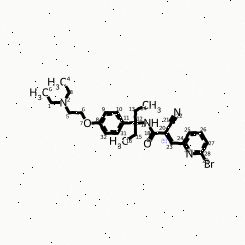 CCN(CC)CCOc1ccc(C(CC)(CC)NC(=O)/C(C#N)=C/c2cccc(Br)n2)cc1